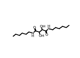 CCCCCCNC(=O)C(O)C(O)C(=O)NCCCCCC